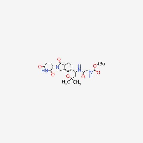 CC(C)(C)OC(=O)NCC(=O)NC1CC(C)(C)Oc2c1ccc1c2CN(C2CCC(=O)NC2=O)C1=O